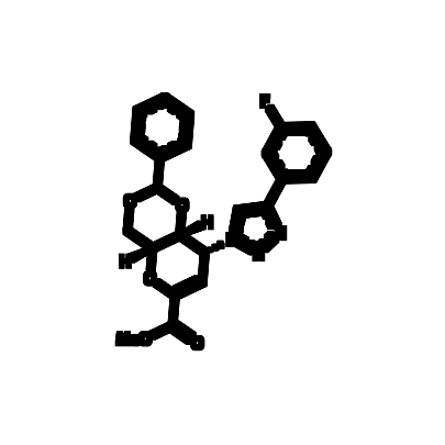 COC(=O)C1=C[C@@H](n2cc(-c3cccc(F)c3)nn2)[C@H]2OC(c3ccccc3)OC[C@H]2O1